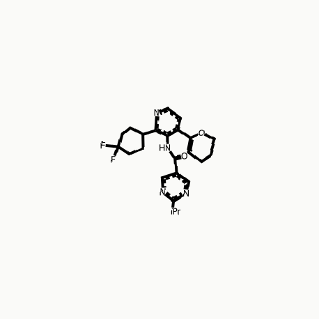 CC(C)c1ncc(C(=O)Nc2c(C3=CCCCO3)ccnc2C2CCC(F)(F)CC2)cn1